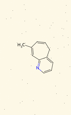 CC1=Cc2ncccc2CC=C1